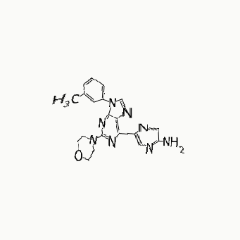 Cc1cccc(-n2cnc3c(-c4cnc(N)cn4)nc(N4CCOCC4)nc32)c1